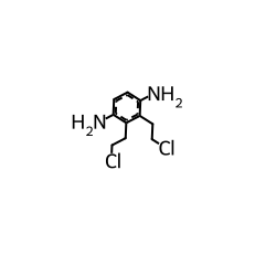 Nc1ccc(N)c(CCCl)c1CCCl